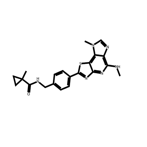 CNc1nc2nc(-c3ccc(CNC(=O)C4(C)CC4)cc3)sc2c2c1ncn2C